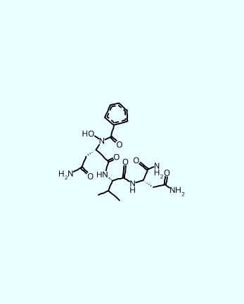 CC(C)[C@H](NC(=O)[C@H](CC(N)=O)N(O)C(=O)c1ccccc1)C(=O)N[C@@H](CC(N)=O)C(N)=O